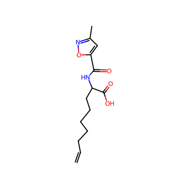 C=CCCCCCC(NC(=O)c1cc(C)no1)C(=O)O